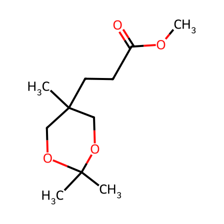 COC(=O)CCC1(C)COC(C)(C)OC1